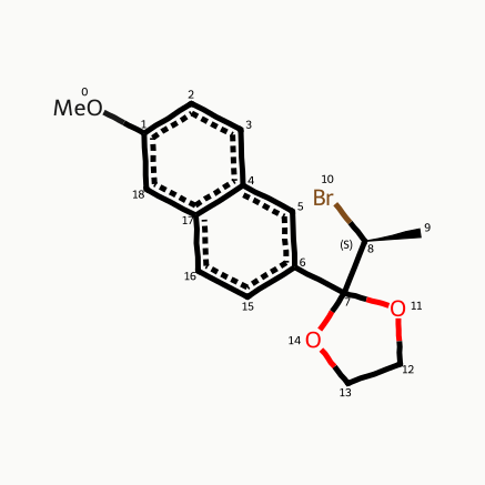 COc1ccc2cc(C3([C@H](C)Br)OCCO3)ccc2c1